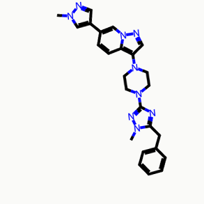 Cn1cc(-c2ccc3c(N4CCN(c5nc(Cc6ccccc6)n(C)n5)CC4)cnn3c2)cn1